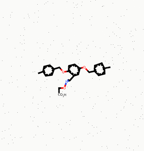 Cc1ccc(COc2ccc(OCc3ccc(C)cc3)c(/C=N/OCC(=O)O)c2)cc1